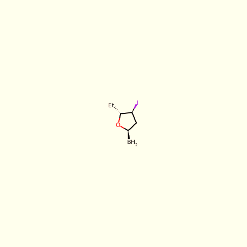 B[C@@H]1C[C@H](I)[C@@H](CC)O1